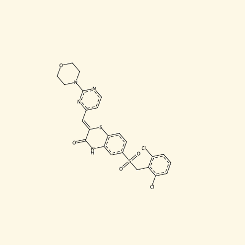 O=C1Nc2cc(S(=O)(=O)Cc3c(Cl)cccc3Cl)ccc2S/C1=C\c1ccnc(N2CCOCC2)n1